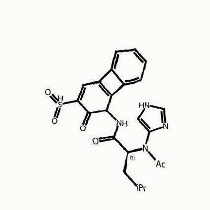 CC(=O)N(c1c[nH]cn1)[C@@H](CC(C)C)C(=O)NC1C(=O)C([SH](=O)=O)=CC2=C1c1ccccc12